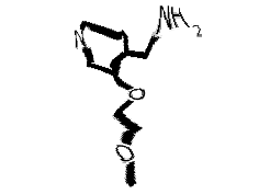 COCCOc1cnccc1CN